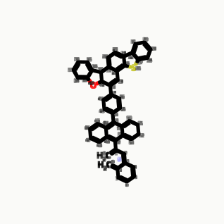 C=C(/C=c1/ccccc1=C)c1c2c(c(-c3ccc(C4=Cc5c(ccc6c5sc5ccccc56)C5c6ccccc6OC45)cc3)c3ccccc13)=CCCC=2